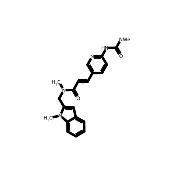 CNC(=O)Nc1ccc(/C=C/C(=O)N(C)Cc2cc3ccccc3n2C)cn1